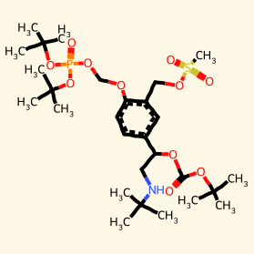 CC(C)(C)NCC(OC(=O)OC(C)(C)C)c1ccc(OCOP(=O)(OC(C)(C)C)OC(C)(C)C)c(COS(C)(=O)=O)c1